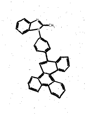 Cc1nc2ccccc2n1-c1ccc(-c2cc3c4ccccc4c4ccccc4c3c3ccccc23)cc1